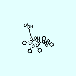 CC(=O)NCCCCCCOC1C(O)C(OC(C)c2cn(S(=O)(=O)c3ccccc3)c3ccccc23)C(OCc2ccccc2)C(OCc2ccccc2)C1OCc1ccccc1